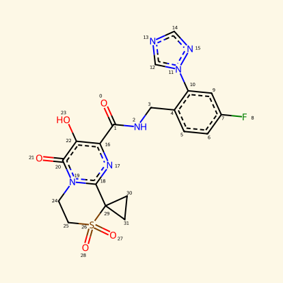 O=C(NCc1ccc(F)cc1-n1cncn1)c1nc2n(c(=O)c1O)CCS(=O)(=O)C21CC1